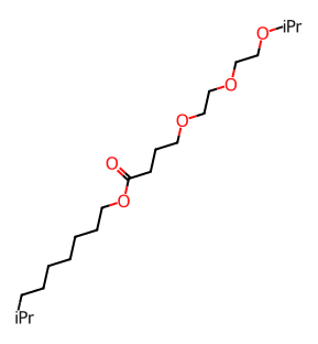 CC(C)CCCCCCCOC(=O)CCCOCCOCCOC(C)C